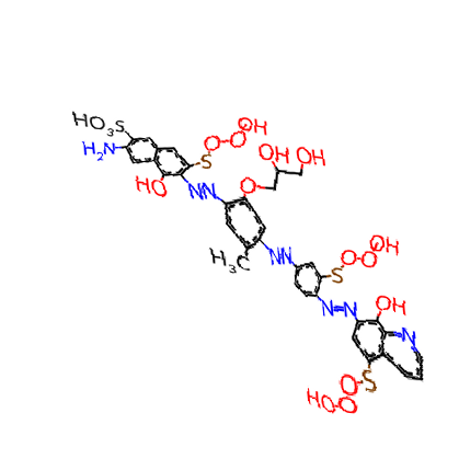 Cc1cc(/N=N/c2c(SOOO)cc3cc(S(=O)(=O)O)c(N)cc3c2O)c(OCC(O)CO)cc1/N=N/c1ccc(/N=N/c2cc(SOOO)c3cccnc3c2O)c(SOOO)c1